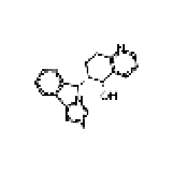 O[C@H]1c2cccnc2CC[C@H]1C1c2ccccc2-c2cncn21